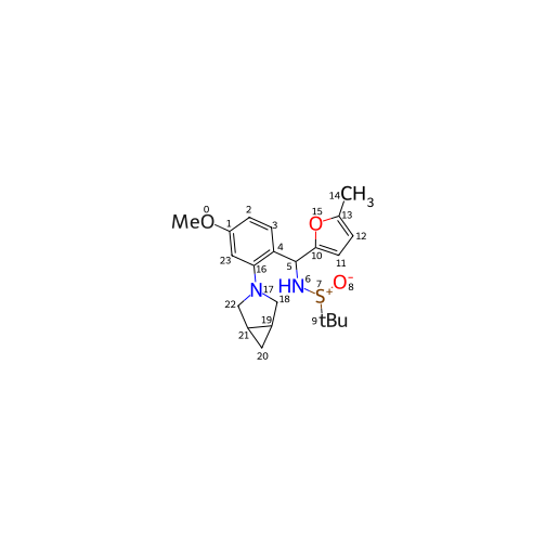 COc1ccc(C(N[S+]([O-])C(C)(C)C)c2ccc(C)o2)c(N2CC3CC3C2)c1